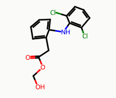 O=C(Cc1ccccc1Nc1c(Cl)cccc1Cl)OCO